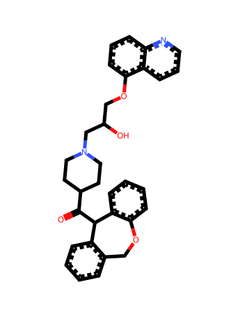 O=C(C1CCN(CC(O)COc2cccc3ncccc23)CC1)C1c2ccccc2COc2ccccc21